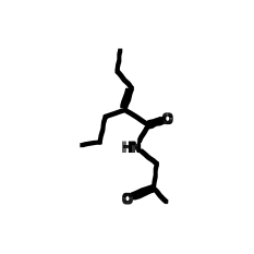 CC/C=C(\CCC)C(=O)NCC(C)=O